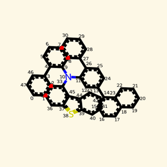 c1ccc(-c2ccccc2N(c2cc(-c3cccc4ccccc34)ccc2-c2ccccc2)c2cccc3sc4ccccc4c23)cc1